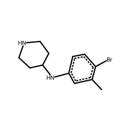 Cc1cc(NC2CCNCC2)ccc1Br